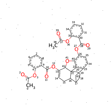 CC(=O)Oc1ccccc1C(=O)OC1=CCC2C3CCCC24c2c(ccc(OC(=O)c5ccccc5OC(C)=O)c2OC14)C3